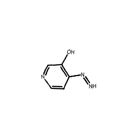 N=Nc1ccncc1O